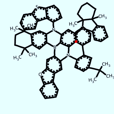 CC(C)(C)c1ccc(N2c3cc4c(cc3B3c5cc6c(cc5N(c5cccc7sc8ccccc8c57)c5cc(N7c8ccccc8C8(C)CCCCC78C)cc2c53)C(C)(C)CCC6(C)C)oc2ccccc24)c(-c2ccccc2)c1